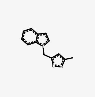 Cc1cc(Cn2ccc3ccccc32)on1